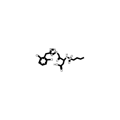 CCCCS(=O)(=O)NC(CC(=O)O)C(=O)Cn1nnc(Cc2c(Cl)cccc2Cl)n1